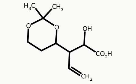 C=CC(C1CCOC(C)(C)O1)C(O)C(=O)O